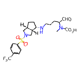 CN(C(=O)O)[C@H](C=O)CCCN[C@H]1CC[C@H]2CN(S(=O)(=O)c3ccc(C(F)(F)F)cc3)C[C@H]21